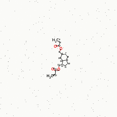 C=CC(=O)OCC1CCC2CCC(COC(=O)C=C)C2C1